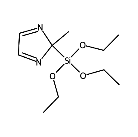 CCO[Si](OCC)(OCC)C1(C)N=CC=N1